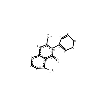 CCCc1nc2cccc(P)c2c(=O)n1C1=CCCC=C1